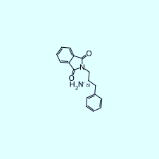 N[C@@H](Cc1ccccc1)CN1C(=O)c2ccccc2C1=O